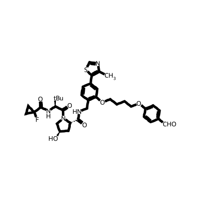 Cc1ncsc1-c1ccc(CNC(=O)[C@@H]2C[C@@H](O)CN2C(=O)[C@@H](NC(=O)C2(F)CC2)C(C)(C)C)c(OCCCCOc2ccc(C=O)cc2)c1